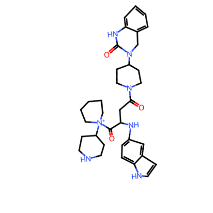 O=C(CC(Nc1ccc2[nH]ccc2c1)C(=O)[N+]1(C2CCNCC2)CCCCC1)N1CCC(N2Cc3ccccc3NC2=O)CC1